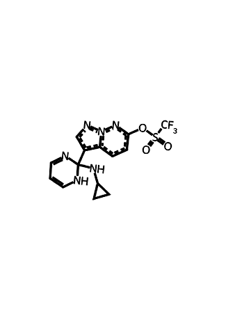 O=S(=O)(Oc1ccc2c(C3(NC4CC4)N=CC=CN3)cnn2n1)C(F)(F)F